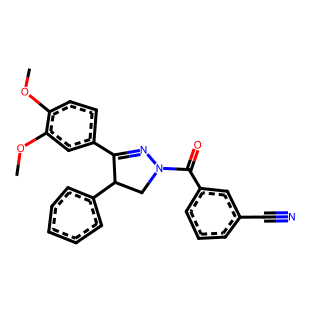 COc1ccc(C2=NN(C(=O)c3cccc(C#N)c3)CC2c2ccccc2)cc1OC